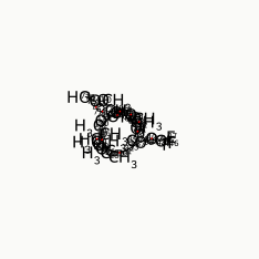 CO[C@@H]1C[C@H](C[C@@H](C)[C@@H]2CC(=O)[C@H](C)/C=C(\C)[C@@H](O)[C@@H](OC)C(=O)[C@H](C)C[C@H](C)/C=C/C=C/C=C(\C)[C@H](OCCOCCOCC(F)(F)F)C[C@@H]3CC[C@@H](C)[C@@](O)(O3)C(=O)C(=O)N3CCCC[C@H]3C(=O)O2)CC[C@H]1OCCO